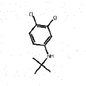 CC(C)(C)Nc1ccc(Cl)c(Cl)c1